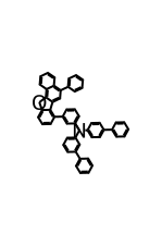 c1ccc(-c2ccc(N(c3cccc(-c4ccccc4)c3)c3cccc(-c4cccc5oc6c7ccccc7c(-c7ccccc7)cc6c45)c3)cc2)cc1